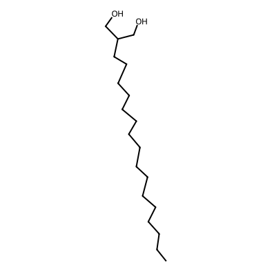 CCCCCCCCCCCCCCCCC(CO)CO